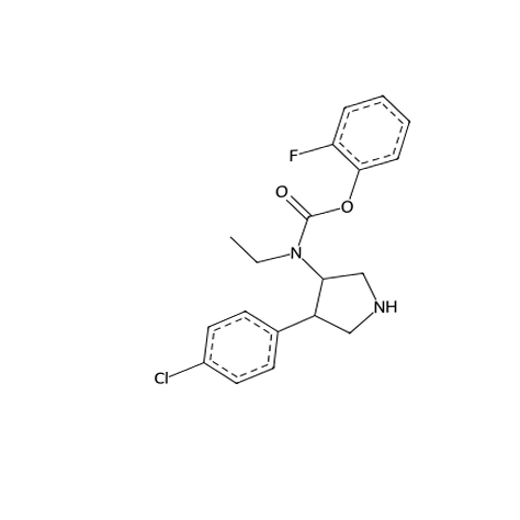 CCN(C(=O)Oc1ccccc1F)C1CNCC1c1ccc(Cl)cc1